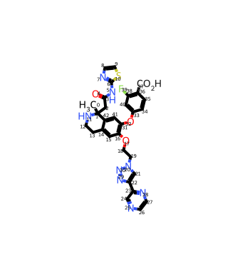 CC1(CC(=O)Nc2nccs2)NCCc2cc(OCCn3cc(-c4cnccn4)nn3)c(Oc3ccc(C(=O)O)c(F)c3)cc21